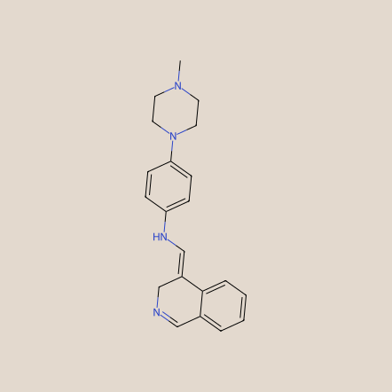 CN1CCN(c2ccc(NC=C3CN=Cc4ccccc43)cc2)CC1